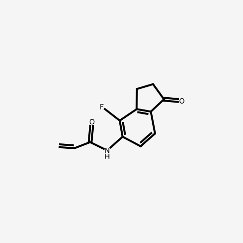 C=CC(=O)Nc1ccc2c(c1F)CCC2=O